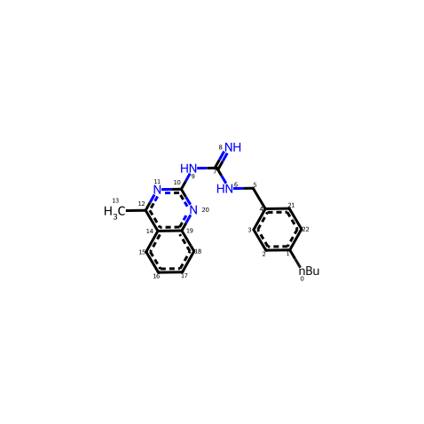 CCCCc1ccc(CNC(=N)Nc2nc(C)c3ccccc3n2)cc1